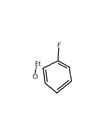 CCCl.Fc1ccccc1